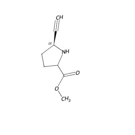 C#C[C@@H]1CCC(C(=O)OC)N1